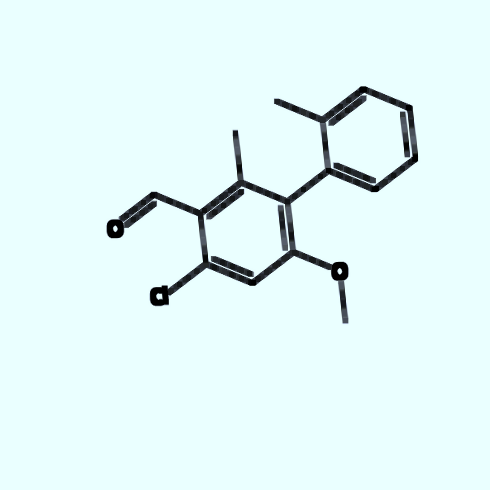 COc1cc(Cl)c(C=O)c(C)c1-c1ccccc1C